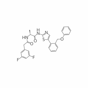 C[C@H](NC(=O)Cc1cc(F)cc(F)c1)C(=O)Nc1ncc(-c2ccccc2COc2ccccc2)s1